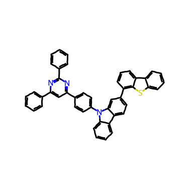 c1ccc(-c2cc(-c3ccc(-n4c5ccccc5c5ccc(-c6cccc7c6sc6ccccc67)cc54)cc3)nc(-c3ccccc3)n2)cc1